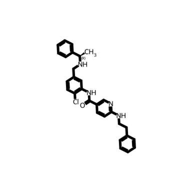 C[C@@H](NCc1ccc(Cl)c(NC(=O)c2ccc(NCCc3ccccc3)nc2)c1)c1ccccc1